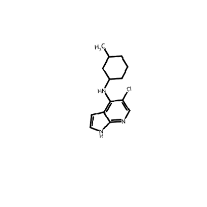 CC1CCCC(Nc2c(Cl)cnc3[nH]ccc23)C1